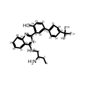 CCC(N)CNc1nc(-c2cc(-c3ccc(C(F)(F)F)cc3)ccc2O)nc2ccccc12